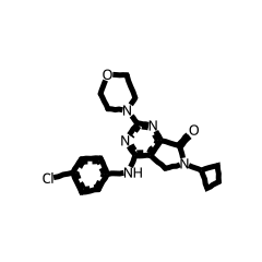 O=C1c2nc(N3CCOCC3)nc(Nc3ccc(Cl)cc3)c2CN1C1CCC1